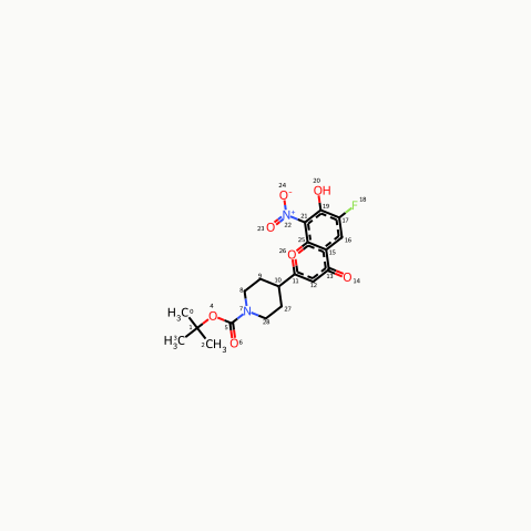 CC(C)(C)OC(=O)N1CCC(c2cc(=O)c3cc(F)c(O)c([N+](=O)[O-])c3o2)CC1